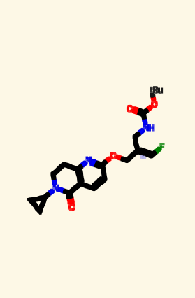 CC(C)(C)OC(=O)NC/C(=C\F)COc1ccc2c(n1)CCN(C1CC1)C2=O